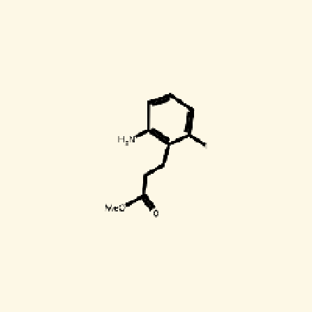 COC(=O)CCc1c(N)cccc1I